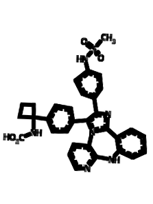 CS(=O)(=O)Nc1ccc(-c2nc3n(c2-c2ccc(C4(NC(=O)O)CCC4)cc2)-c2cccnc2Nc2ccccc2-3)cc1